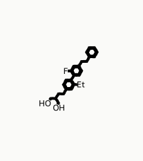 CCc1cc(CCC(CO)CO)ccc1-c1ccc(CCc2ccccc2)cc1F